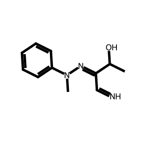 CC(O)/C(C=N)=N/N(C)c1ccccc1